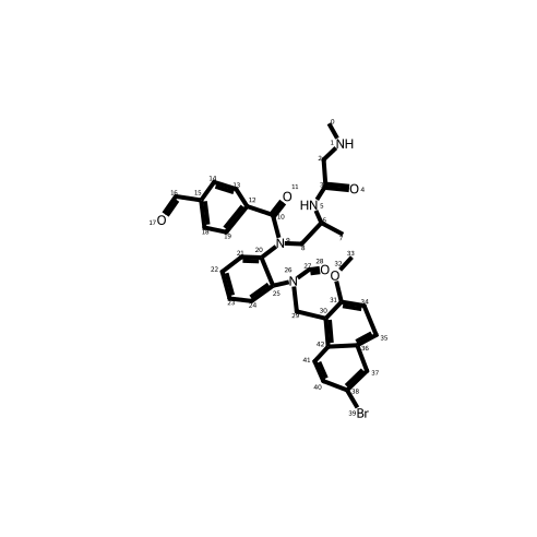 CNCC(=O)NC(C)CN(C(=O)c1ccc(C=O)cc1)c1ccccc1N(C=O)Cc1c(OC)ccc2cc(Br)ccc12